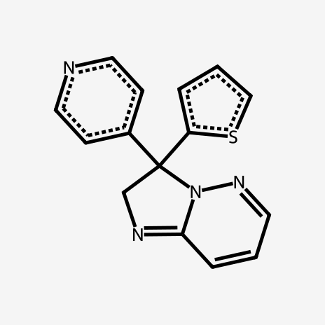 C1=CC2=NCC(c3ccncc3)(c3cccs3)N2N=C1